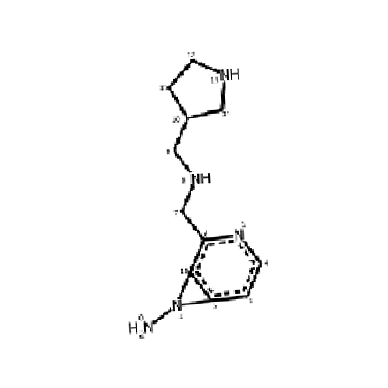 NN1c2ccnc(CNCC3CCNC3)c21